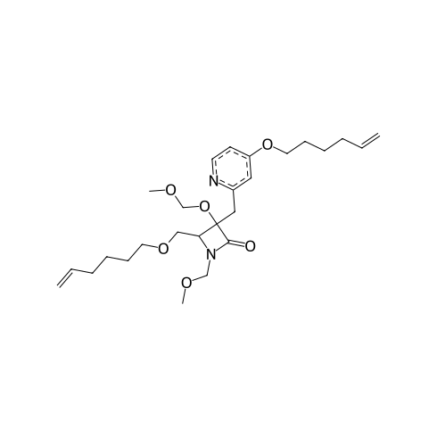 C=CCCCCOCC1N(COC)C(=O)C1(Cc1cc(OCCCCC=C)ccn1)OCOC